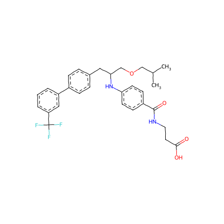 CC(C)COCC(Cc1ccc(-c2cccc(C(F)(F)F)c2)cc1)Nc1ccc(C(=O)NCCC(=O)O)cc1